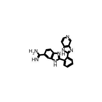 N=C(N)c1ccc2nc(-c3ccccc3-c3nc4cnccc4[nH]3)[nH]c2c1